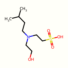 CC(C)CCN(CCO)CCS(=O)(=O)O